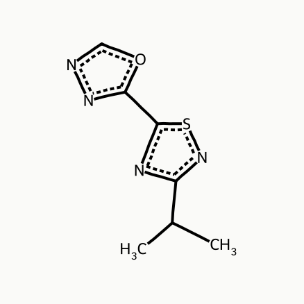 CC(C)c1nsc(-c2nnco2)n1